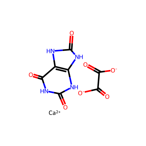 O=C([O-])C(=O)[O-].O=c1[nH]c(=O)c2[nH]c(=O)[nH]c2[nH]1.[Ca+2]